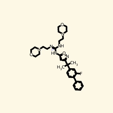 CC(C)(c1ccc(-c2ccccc2)c(F)c1)c1cc(N/C(=N\CCN2CCOCC2)NCCN2CCOCC2)on1